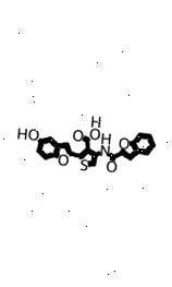 O=C(Nc1csc(-c2cc3cc(O)ccc3o2)c1C(=O)O)c1cc2ccccc2o1